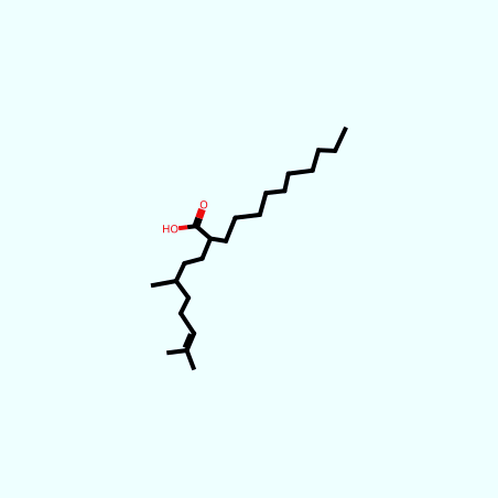 CCCCCCCCCCC(CCC(C)CCC=C(C)C)C(=O)O